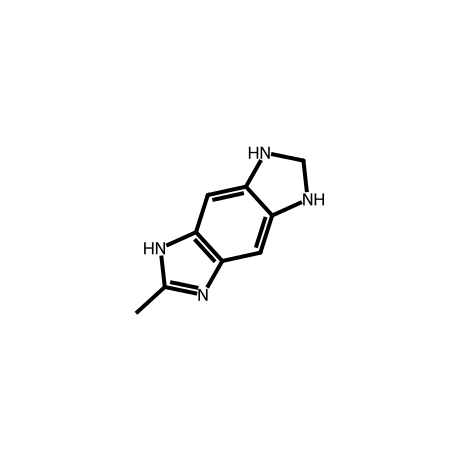 Cc1nc2cc3c(cc2[nH]1)NCN3